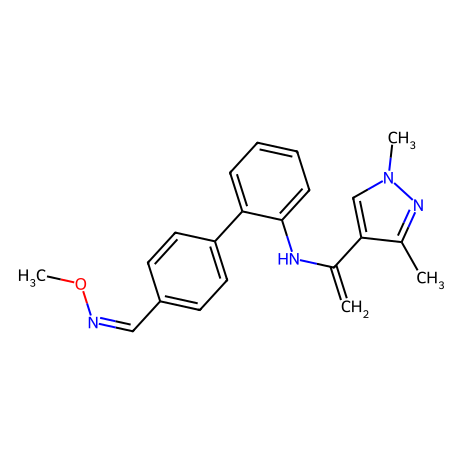 C=C(Nc1ccccc1-c1ccc(/C=N\OC)cc1)c1cn(C)nc1C